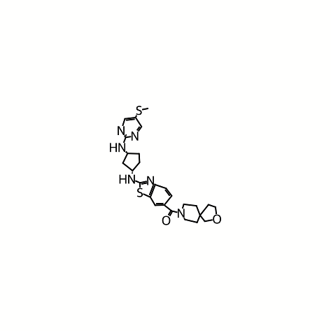 CSc1cnc(N[C@H]2CC[C@H](Nc3nc4ccc(C(=O)N5CCC6(CCOC6)CC5)cc4s3)C2)nc1